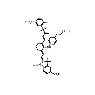 C=C(/C=C/C1=C(Nc2ccc(CCC(=O)O)cc2)C(=C/C=C2/N(CCCC)c3ccc(S(=O)(=O)O)cc3C2(C)C)/CCC1)C(C)(C)c1cc(S(=O)(=O)O)ccc1C